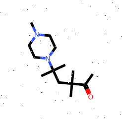 CC(=O)C(C)(C)CC(C)(C)N1CCN(C)CC1